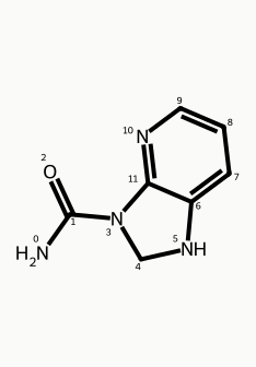 NC(=O)N1CNc2cccnc21